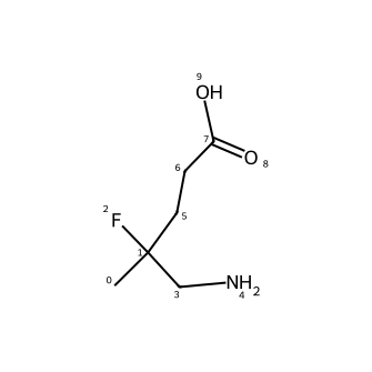 CC(F)(CN)CCC(=O)O